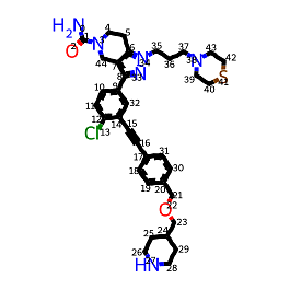 NC(=O)N1CCc2c(c(-c3ccc(Cl)c(C#Cc4ccc(COCC5CCNCC5)cc4)c3)nn2CCCN2CCSCC2)C1